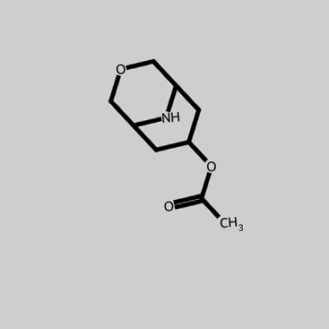 CC(=O)OC1CC2COCC(C1)N2